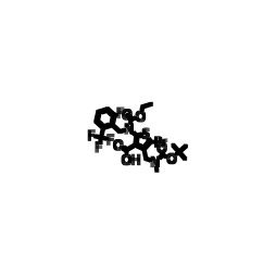 CCOC(=O)N(Cc1c(F)cccc1C(F)(F)F)c1sc(Br)c(CN(C)C(=O)OC(C)(C)C)c1C(=O)O